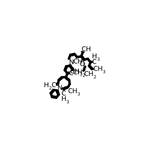 C#C/C(C/C=C\CN(C)C(/C=C\C(=C=C)C1=C/C/C(C)=C(/C)N(c2ccccc2)C(=C)/C=C\1)=C/C)=C(\CC(C)/C=C\C)OCC=C